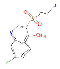 O=S(=O)(CCI)c1cnc2cc(F)ccc2c1O